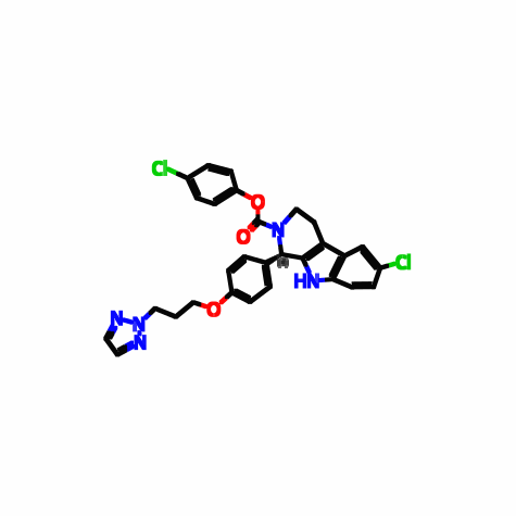 O=C(Oc1ccc(Cl)cc1)N1CCc2c([nH]c3ccc(Cl)cc23)[C@H]1c1ccc(OCCCn2nccn2)cc1